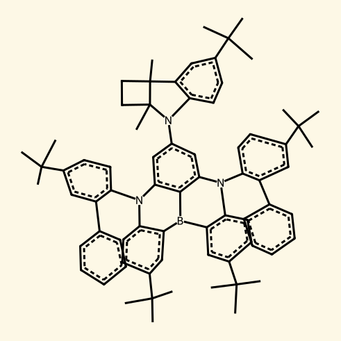 CC(C)(C)c1ccc2c(c1)B1c3cc(C(C)(C)C)ccc3N(c3ccc(C(C)(C)C)cc3-c3ccccc3)c3cc(N4c5ccc(C(C)(C)C)cc5C5(C)CCC45C)cc(c31)N2c1ccc(C(C)(C)C)cc1-c1ccccc1